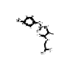 CCC(CC)COC(=O)[C@H](C)N=[P+]([O-])Oc1ccc(C#N)cc1